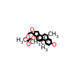 CC(=O)[C@]1(C)OCC(=O)C2(CCC3C4C[C@H](C)C5=CC(=O)C=C[C@]5(C)C4=CC[C@@]32C)O1